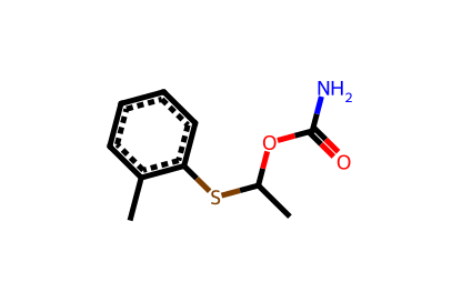 Cc1ccccc1SC(C)OC(N)=O